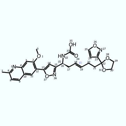 COc1cc2nc(C)ccc2cc1-c1cc([C@H](C/C=C/CCC2(c3ccon3)OCCO2)NC(=O)O)no1